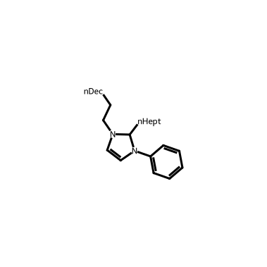 CCCCCCCCCCCCN1C=CN(c2ccccc2)C1CCCCCCC